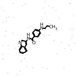 CCCNc1ccc(C(=O)Nc2cnc3ccccc3c2)cc1